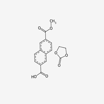 COC(=O)c1ccc2cc(C(=O)O)ccc2c1.O=C1OCCO1